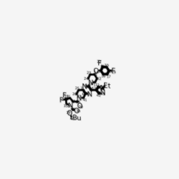 CCn1cc(-c2nc3c(nc2N2CCC(Oc4ccc(F)cc4F)CC2)CCN(C(=O)C2CC(F)(F)CN2C(=O)OC(C)(C)C)C3)cn1